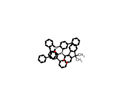 CC1(C)c2ccccc2-c2c(N(c3ccc(-c4ccccc4)cc3-c3ccccc3)c3cc(-c4ccccc4)ccc3-n3c4ccccc4c4ccccc43)cccc21